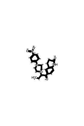 CCC(C(=O)c1ccc2c(c1)CCC(=O)N2)N1CCN(c2ccc([N+](=O)[O-])cc2)CC1